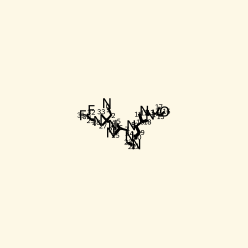 N#CCC1(n2cc(-c3nc(-c4cnn(C5COC5)c4)cc4nccn34)cn2)CN(CC(F)F)C1